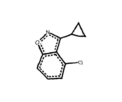 Clc1cccc2onc(C3CC3)c12